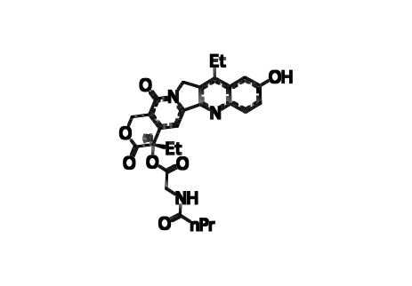 CCCC(=O)NCC(=O)O[C@]1(CC)C(=O)OCc2c1cc1n(c2=O)Cc2c-1nc1ccc(O)cc1c2CC